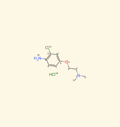 CN(C)CCOc1ccc(N)c(Cl)c1.Cl